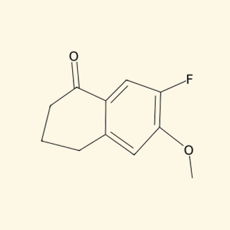 COc1cc2c(cc1F)C(=O)CCC2